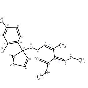 CNC(=O)C(=N/OC)/C(C)=C\COC1(c2ccc(Cl)cc2Cl)C=CN=N1